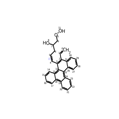 C=Cc1c(/C=C\CC(O)COO)c2c3ccccc3c3ccccc3c2c2ccccc12